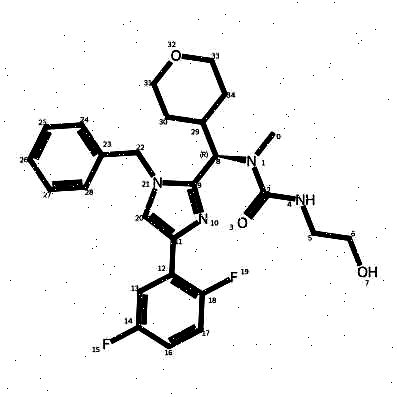 CN(C(=O)NCCO)[C@@H](c1nc(-c2cc(F)ccc2F)cn1Cc1ccccc1)C1CCOCC1